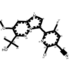 COc1cc2ncc(-c3nc(Cl)c(C#N)cc3F)n2nc1C(C)(C)O